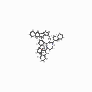 C1=C(/c2ccc3ccccc3c2)C2Cc3ccc4c5cc6ccccc6cc5n(c4c3)-c3ccc4c(sc5ccccc54)c3C2/N=C(/c2ccc3ccccc3c2)CC/1